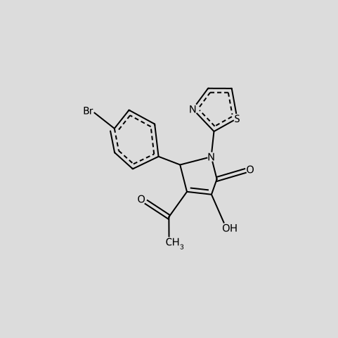 CC(=O)C1=C(O)C(=O)N(c2nccs2)C1c1ccc(Br)cc1